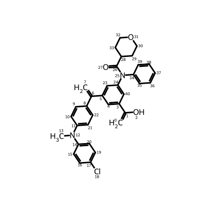 C=C(O)c1cc(C(=C)c2ccc(N(C)c3ccc(Cl)cc3)cc2)cc(N(C(=O)C2CCOCC2)c2ccccc2)c1